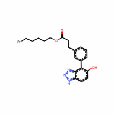 CC(C)CCCCCOC(=O)CCc1cccc(-c2c(O)ccc3[nH]nnc23)c1